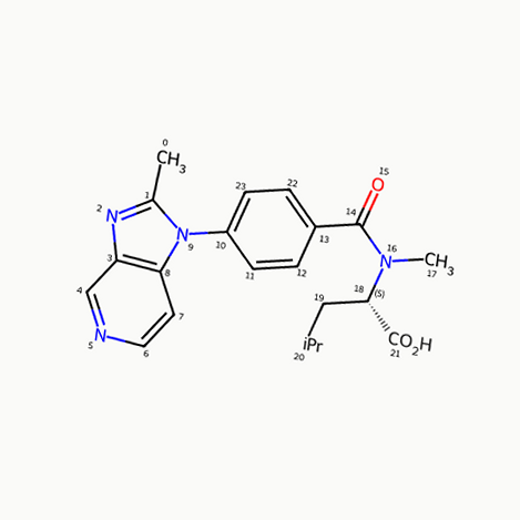 Cc1nc2cnccc2n1-c1ccc(C(=O)N(C)[C@@H](CC(C)C)C(=O)O)cc1